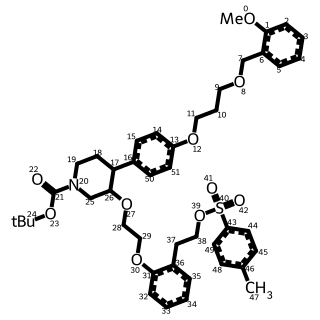 COc1ccccc1COCCCOc1ccc(C2CCN(C(=O)OC(C)(C)C)CC2OCCOc2ccccc2CCOS(=O)(=O)c2ccc(C)cc2)cc1